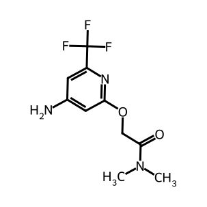 CN(C)C(=O)COc1cc(N)cc(C(F)(F)F)n1